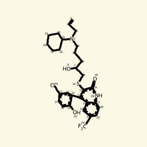 C=CCN(CCCC(O)CSc1c(-c2cc(Cl)ccc2O)c2cc(C(F)(F)F)ccc2[nH]c1=O)C1CCCCC1